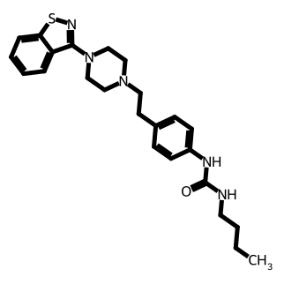 CCCCNC(=O)Nc1ccc(CCN2CCN(c3nsc4ccccc34)CC2)cc1